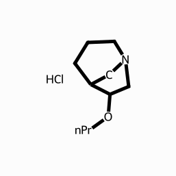 CCCOC1CN2CCCC1C2.Cl